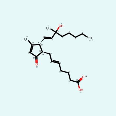 CCCCCC(C)(O)C=C[C@H]1C(C)=CC(=O)[C@@H]1CC=CCCCC(=O)O